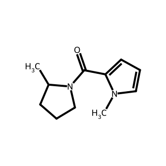 CC1CCCN1C(=O)c1cccn1C